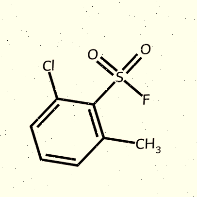 Cc1cccc(Cl)c1S(=O)(=O)F